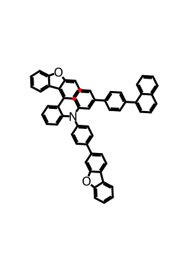 c1cc(-c2ccc(-c3cccc4ccccc34)cc2)cc(N(c2ccc(-c3ccc4c(c3)oc3ccccc34)cc2)c2ccccc2-c2cccc3oc4ccccc4c23)c1